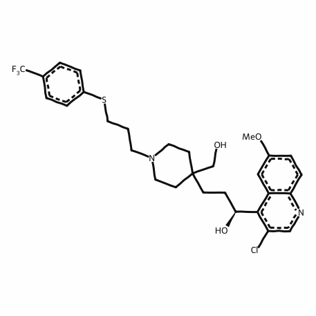 COc1ccc2ncc(Cl)c([C@@H](O)CCC3(CO)CCN(CCCSc4ccc(C(F)(F)F)cc4)CC3)c2c1